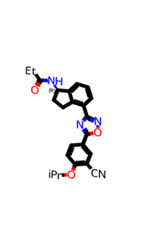 CCC(=O)N[C@@H]1CCc2c(-c3noc(-c4ccc(OC(C)C)c(C#N)c4)n3)cccc21